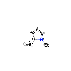 [CH2]Cn1cccc1C=O